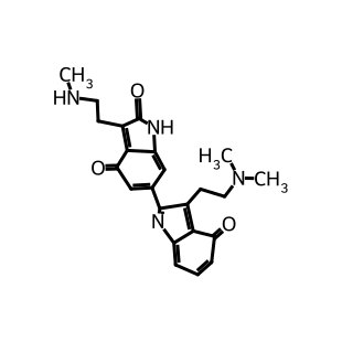 CNCCC1=C2C(=O)C=C(C3=NC4=CC=CC(=O)C4=C3CCN(C)C)C=C2NC1=O